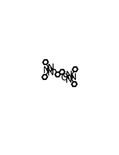 c1ccc(-c2nc(Cc3cccc4c(Oc5nc(-c6ccccc6)nc(-c6ccccc6)n5)cccc34)nc(-c3ccccc3)n2)cc1